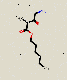 CCCCCCOC(=O)C(C)C(=O)CN